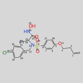 C=CCCOc1ccc(S(=O)(=O)N(Cc2ccc(Cl)cc2)C(C(=O)NO)C(C)C)cc1